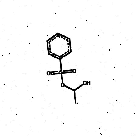 [CH2]C(O)OS(=O)(=O)c1ccccc1